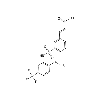 COc1ccc(C(F)(F)F)cc1NS(=O)(=O)c1cccc(C=CC(=O)O)c1